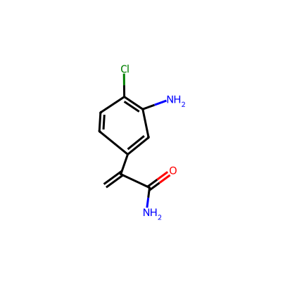 C=C(C(N)=O)c1ccc(Cl)c(N)c1